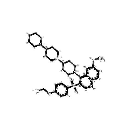 CCOc1ccc(S(=O)(=O)c2cnc3ccc(SC)cc3c2N2CCC(N3CCC(N4CCCCC4)CC3)CC2)cc1